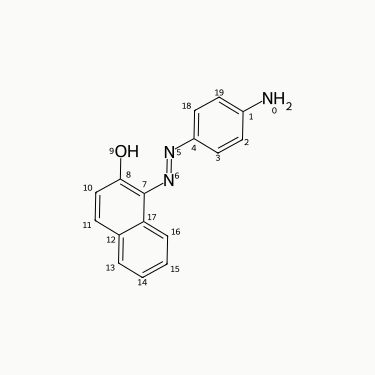 Nc1ccc(N=Nc2c(O)ccc3ccccc23)cc1